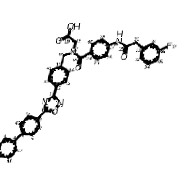 Cc1ccc(-c2ccc(-c3nc(-c4ccc(CN(CC(=O)O)C(=O)c5ccc(NC(=O)Cc6cccc(F)c6)cc5)cc4)no3)cc2)cc1